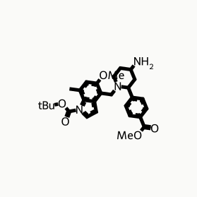 COC(=O)c1ccc(C2CC(N)CCN2Cc2c(OC)cc(C)c3c2ccn3C(=O)OC(C)(C)C)cc1